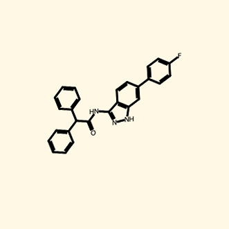 O=C(Nc1n[nH]c2cc(-c3ccc(F)cc3)ccc12)C(c1ccccc1)c1ccccc1